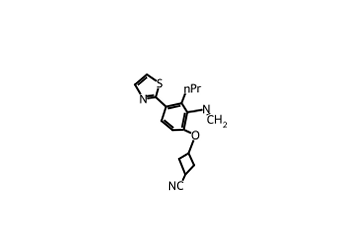 C=Nc1c(OC2CC(C#N)C2)ccc(-c2nccs2)c1CCC